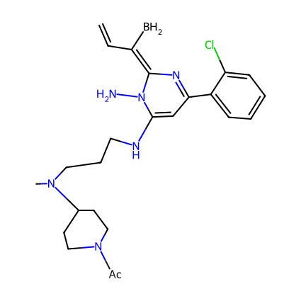 B/C(C=C)=C1\N=C(c2ccccc2Cl)C=C(NCCCN(C)C2CCN(C(C)=O)CC2)N1N